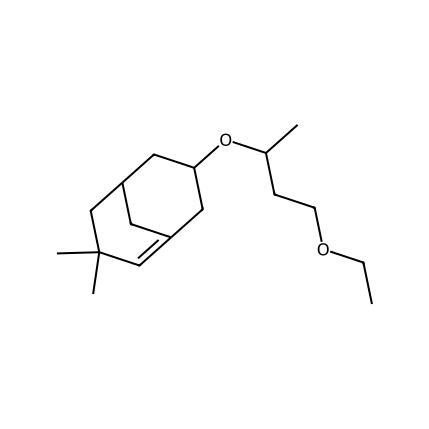 CCOCCC(C)OC1CC2=CC(C)(C)CC(C2)C1